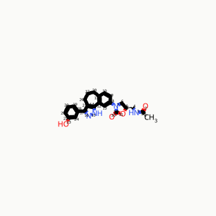 CC(=O)NC[C@H]1CN(c2ccc3c(c2)-c2[nH]nc(-c4cccc(O)c4)c2CCC3)C(=O)O1